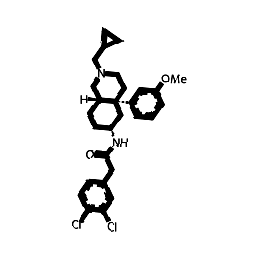 COc1cccc([C@@]23CCN(CC4CC4)C[C@H]2CC[C@@H](NC(=O)Cc2ccc(Cl)c(Cl)c2)C3)c1